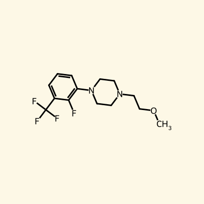 COCCN1CCN(c2cccc(C(F)(F)F)c2F)CC1